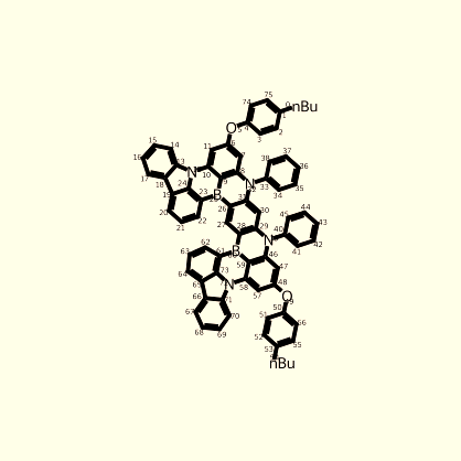 CCCCc1ccc(Oc2cc3c4c(c2)-n2c5ccccc5c5cccc(c52)B4c2cc4c(cc2N3c2ccccc2)N(c2ccccc2)c2cc(Oc3ccc(CCCC)cc3)cc3c2B4c2cccc4c5ccccc5n-3c24)cc1